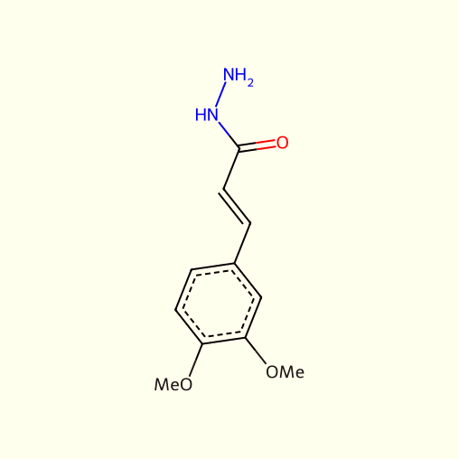 COc1ccc(/C=C/C(=O)NN)cc1OC